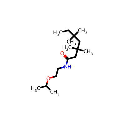 CCC(C)(C)CC(C)(C)CC(=O)NCCOC(C)C